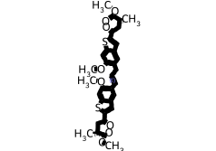 COC(=O)[C@@H](C)CC(=O)c1cc2cc(/C=C/Cc3cc4cc(C(=O)C[C@H](C)C(=O)OC)sc4cc3OC)c(OC)cc2s1